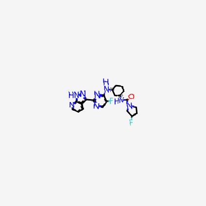 O=C(N[C@@H]1CCC[C@H](Nc2nc(-c3n[nH]c4ncccc34)ncc2F)C1)N1CCC(F)C1